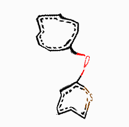 [c]1csc(Oc2ccccc2)c1